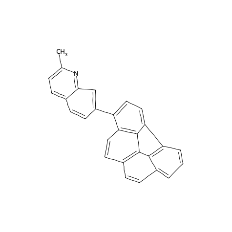 Cc1ccc2ccc(-c3ccc4c5c3ccc3ccc6cccc-4c6c35)cc2n1